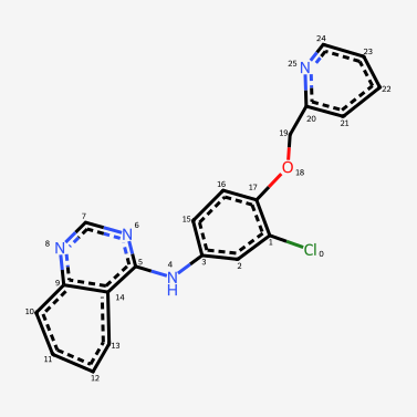 Clc1cc(Nc2ncnc3ccccc23)ccc1OCc1ccccn1